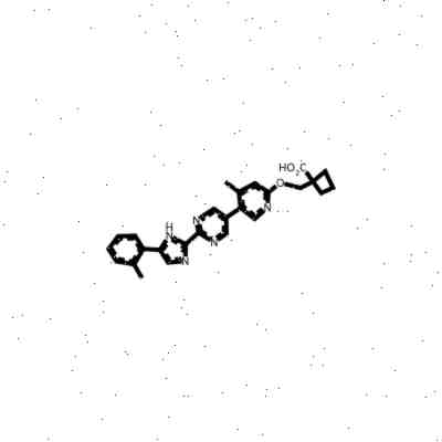 Cc1cc(OCC2(C(=O)O)CCC2)ncc1-c1cnc(-c2ncc(-c3ccccc3C)[nH]2)nc1